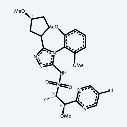 COc1cccc(OC)c1-n1c(NS(=O)(=O)[C@@H](C)[C@H](OC)c2ncc(Cl)cn2)nnc1C1CC[C@H](OC)C1